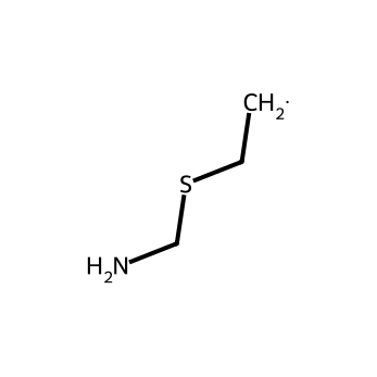 [CH2]CSCN